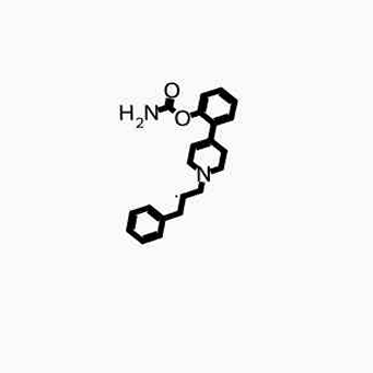 NC(=O)Oc1ccccc1C1=CCN(C[CH]Cc2ccccc2)CC1